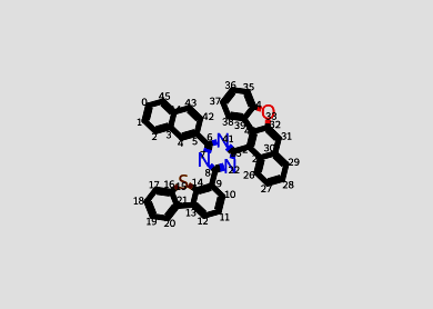 c1ccc2cc(-c3nc(-c4cccc5c4sc4ccccc45)nc(-c4c5ccccc5cc5oc6ccccc6c45)n3)ccc2c1